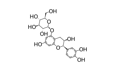 OC[C@H]1O[C@@H](Oc2cc(O)cc3c2C[C@@H](O)[C@@H](c2ccc(O)c(O)c2)O3)[C@H](O)[C@@H](O)[C@@H]1O